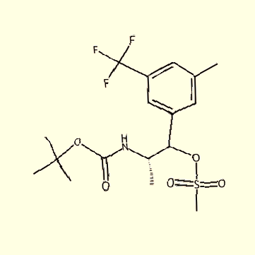 Cc1cc(C(OS(C)(=O)=O)[C@H](C)NC(=O)OC(C)(C)C)cc(C(F)(F)F)c1